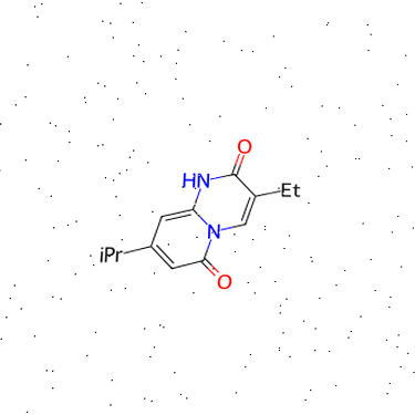 CCc1cn2c(=O)cc(C(C)C)cc2[nH]c1=O